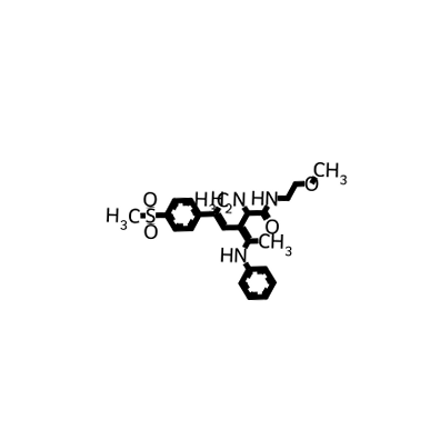 COCCNC(=O)C(N)C(/C=C(\C)c1ccc(S(C)(=O)=O)cc1)=C(\C)Nc1ccccc1